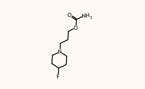 NC(=O)OCCCN1CCC(F)CC1